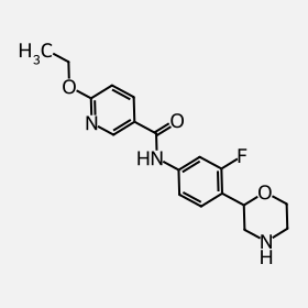 CCOc1ccc(C(=O)Nc2ccc(C3CNCCO3)c(F)c2)cn1